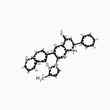 Cc1ccn(-c2nc3[nH]c(-c4ccccc4)cc(=O)c3cc2-c2ccc3ncccc3c2)n1